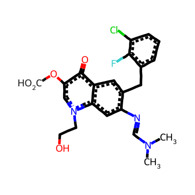 CN(C)C=Nc1cc2c(cc1Cc1cccc(Cl)c1F)c(=O)c(OC(=O)O)cn2CCO